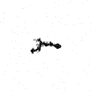 CC(C)[C@H](NC(=O)CN(CC(=O)O)C(=O)CCCCCN1C(=O)C=CC1=O)C(=O)N[C@@H](CCCNC(N)=O)C(=O)Nc1ccc(COC(=O)N(C)CC(=O)NCc2cc3ccc4cccc5ccc(c2)c3c45)cc1